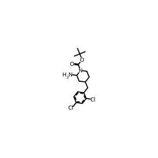 CC(C)(C)OC(=O)N1CCC(Cc2ccc(Cl)cc2Cl)CC1N